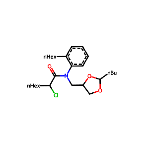 CCCCCCc1ccccc1N(CC1COC(CCCC)O1)C(=O)C(Cl)CCCCCC